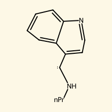 CCCN[C]c1ccnc2ccccc12